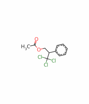 CC(=O)OCC(c1ccccc1)C(Cl)(Cl)Cl